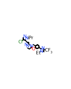 CCn1cc(C(F)(F)F)nc1-c1ccc(CN2C(=O)CCn3nc(-c4c(Cl)cnn4C(C)C)cc32)cc1